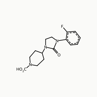 O=C(O)N1CCC(N2CCN(c3ccccc3F)C2=O)CC1